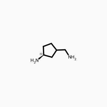 NCC1CC[C@H](N)C1